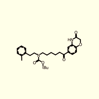 Cc1ccccc1CCN(CCCCCC(=O)c1ccc2c(c1)NC(=O)CO2)C(=O)OC(C)(C)C